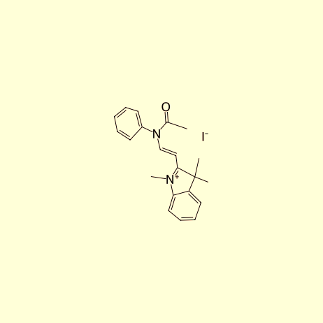 CC(=O)N(C=CC1=[N+](C)c2ccccc2C1(C)C)c1ccccc1.[I-]